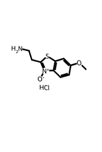 COc1ccc2c(c1)sc(CCN)[n+]2[O-].Cl